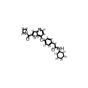 O=C(Cc1ccc(Oc2ccnc3cc(C(=O)N4CCC4)sc23)cc1)NC1CCCCC1